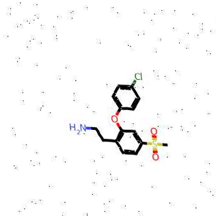 CS(=O)(=O)c1ccc(CCN)c(Oc2ccc(Cl)cc2)c1